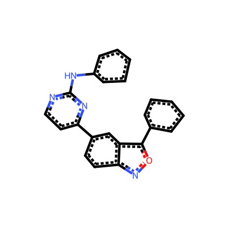 c1ccc(Nc2nccc(-c3ccc4noc(-c5ccccc5)c4c3)n2)cc1